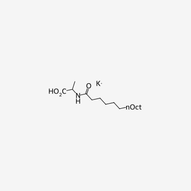 CCCCCCCCCCCCCC(=O)NC(C)C(=O)O.[K]